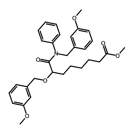 COC(=O)CCCCCC(OCc1cccc(OC)c1)C(=O)N(Cc1cccc(OC)c1)c1ccccc1